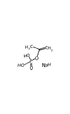 C=C(C)OP(=O)(O)O.[NaH]